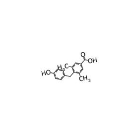 Cc1cc(C(=O)O)cc(C)c1Cc1ccc(O)cc1